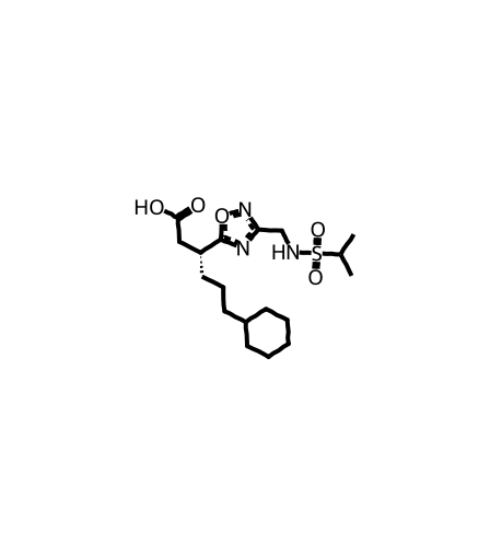 CC(C)S(=O)(=O)NCc1noc([C@H](CCCC2CCCCC2)CC(=O)O)n1